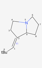 CC(C)(C)/C=C1\CCN2CCCC12